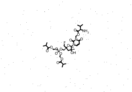 CC(C)C(=O)OCOP(=O)(OCOC(=O)C(C)C)OC[C@]1(CF)C[C@@](C)(O)[C@H](n2ccc(=O)n(COC(=O)C(N)C(C)C)c2=O)O1